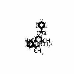 CC(CN1C(C)(C)CC(OC(=O)c2ccccc2)CC1(C)C)c1ccccc1